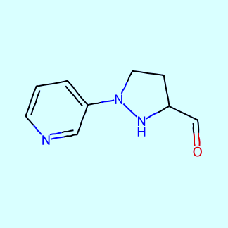 O=CC1CCN(c2cccnc2)N1